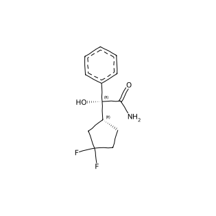 NC(=O)[C@](O)(c1ccccc1)[C@@H]1CCC(F)(F)C1